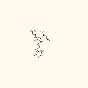 CCC1CCCC(CC)CC(O)(C(=O)COCN2C(=O)CCC2=O)C1